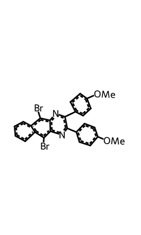 COc1ccc(-c2nc3c(Br)c4ccccc4c(Br)c3nc2-c2ccc(OC)cc2)cc1